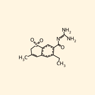 CCc1cc2c(cc1C(=O)N=C(N)N)S(=O)(=O)CC(C)=C2